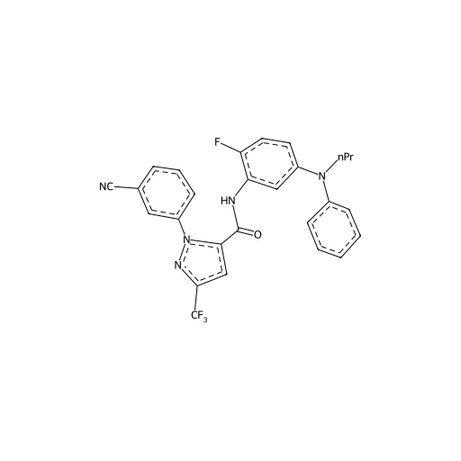 CCCN(c1ccccc1)c1ccc(F)c(NC(=O)c2cc(C(F)(F)F)nn2-c2cccc(C#N)c2)c1